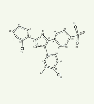 Cc1cc(-c2sc(-c3ccccc3Cl)nc2-c2ccc(S(C)(=O)=O)cc2)ccc1Cl